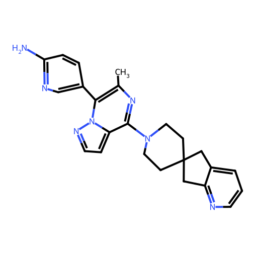 Cc1nc(N2CCC3(CC2)Cc2cccnc2C3)c2ccnn2c1-c1ccc(N)nc1